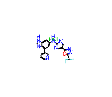 Cl.FC(F)c1nnc(-c2cnc(Nc3cc(-c4cccnc4)c4nc[nH]c4c3)nc2)o1